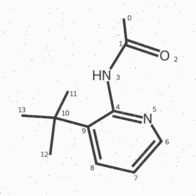 CC(=O)Nc1ncccc1C(C)(C)C